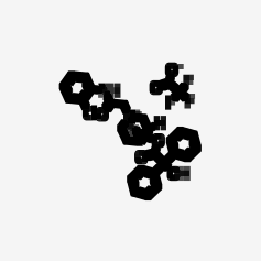 O=C(C[N+]12CCC(CC1)[C@@H](OC(=O)C(O)(c1ccccc1)c1ccccc1)C2)Nc1ccccc1Cl.O=C([O-])C(F)(F)F